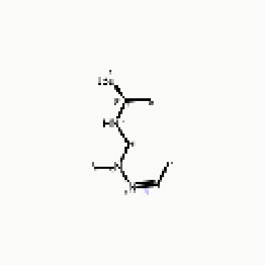 C/C=N\N(C)CN[C@H](C)C(C)(C)C